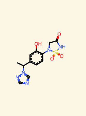 CC(c1ccc(N2CC(=O)NS2(=O)=O)c(O)c1)n1cncn1